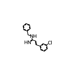 N=C(C=Cc1cccc(Cl)c1)NCc1ccccc1